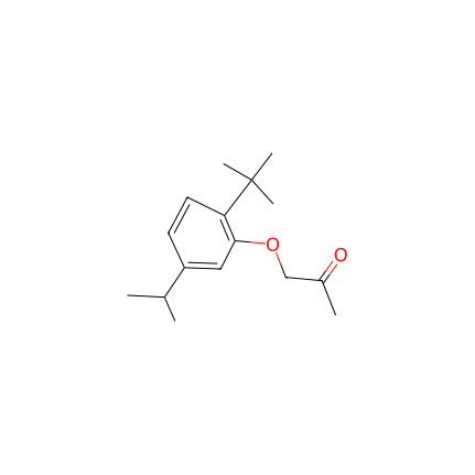 CC(=O)COc1cc(C(C)C)ccc1C(C)(C)C